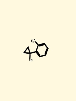 N#CC1(c2cc[c]cc2C(F)(F)F)CC1